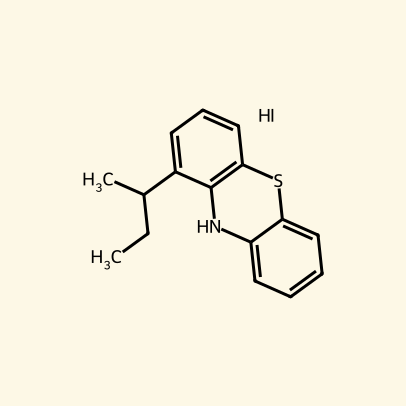 CCC(C)c1cccc2c1Nc1ccccc1S2.I